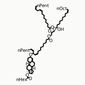 CCCCC/C=C\C/C=C\CCCCCCCC(=O)OC(COC(=O)CCCCCCC/C=C\C(/C=C\CCCCC)OC1C=C2CC[C@H]3[C@@H]4CC[C@H](OC(=O)CCCCCC)[C@@]4(C)CC[C@@H]3[C@@]2(C)CC1)COC(O)CCCCCCC/C=C\CCCCCCCC